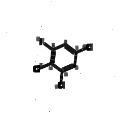 Fc1cc(Cl)cc(Cl)c1Cl